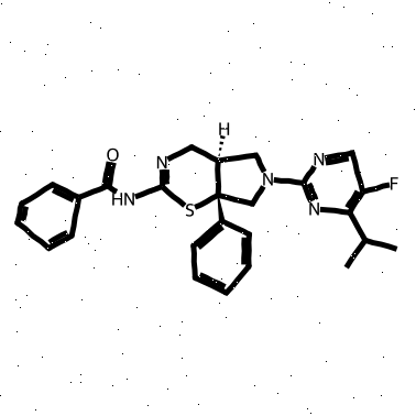 CC(C)c1nc(N2C[C@@H]3CN=C(NC(=O)c4ccccc4)S[C@@]3(c3ccccc3)C2)ncc1F